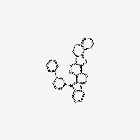 c1ccc(-c2cccc(-n3c4ccccc4c4cnc5c(ncc6c7ccc8ccccc8c7oc65)c43)c2)cc1